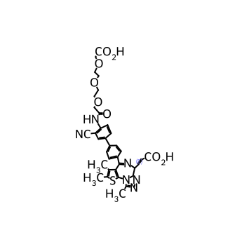 Cc1sc2c(c1C)C(c1ccc(-c3ccc(NC(=O)COCCOCCOCC(=O)O)c(C#N)c3)cc1)=NC(/C=C/C(=O)O)c1nnc(C)n1-2